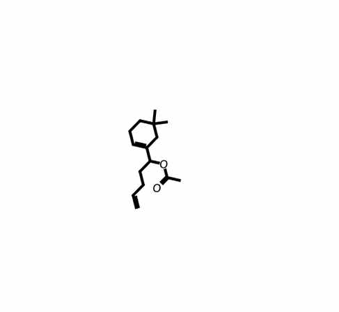 C=CCCC(OC(C)=O)C1=CCCC(C)(C)C1